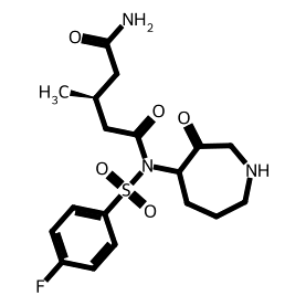 C[C@@H](CC(N)=O)CC(=O)N(C1CCCNCC1=O)S(=O)(=O)c1ccc(F)cc1